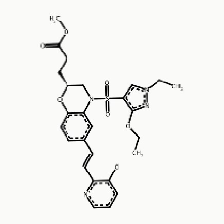 CCOc1nn(CC)cc1S(=O)(=O)N1C[C@H](CCC(=O)OC)Oc2ccc(/C=C/c3ncccc3Cl)cc21